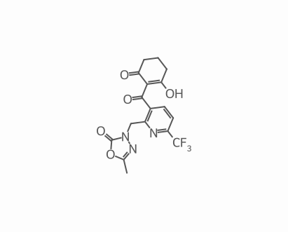 Cc1nn(Cc2nc(C(F)(F)F)ccc2C(=O)C2=C(O)CCCC2=O)c(=O)o1